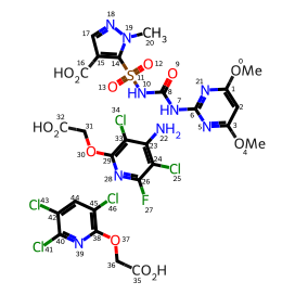 COc1cc(OC)nc(NC(=O)NS(=O)(=O)c2c(C(=O)O)cnn2C)n1.Nc1c(Cl)c(F)nc(OCC(=O)O)c1Cl.O=C(O)COc1nc(Cl)c(Cl)cc1Cl